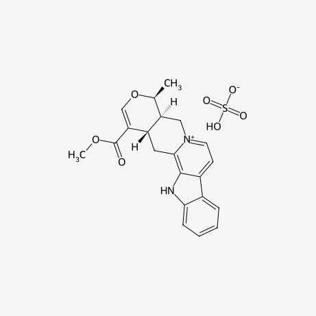 COC(=O)C1=CO[C@@H](C)[C@H]2C[n+]3ccc4c([nH]c5ccccc54)c3C[C@H]12.O=S(=O)([O-])O